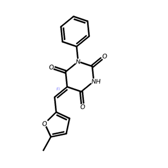 Cc1ccc(/C=C2\C(=O)NC(=O)N(c3ccccc3)C2=O)o1